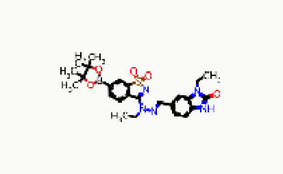 CCN(/N=C/c1ccc2[nH]c(=O)n(CC)c2c1)C1=NS(=O)(=O)c2cc(B3OC(C)(C)C(C)(C)O3)ccc21